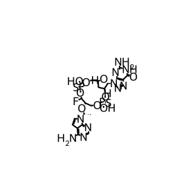 C[C@@H](O[C@@H]1COP(O)(=S)O[C@@H]2C[C@@H](COP(O)(=S)OC1F)O[C@H]2n1nnc2c(=O)[nH]c(N)nc21)n1ccc2c(N)ncnc21